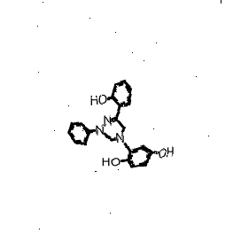 Oc1ccc(O)c(N2CC(c3ccccc3O)=NN(c3ccccc3)C2)c1